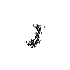 C[C@@H](OC(=O)Nc1c(-c2ccc(NC(=O)c3cnc(N(C)C)nc3)cn2)nnn1C)c1cc(F)cnc1F